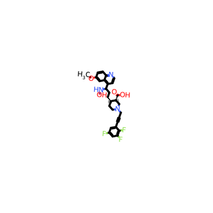 COc1ccc2nccc(C(CC[C@@H]3CCN(CC#Cc4cc(F)cc(F)c4F)C[C@@H]3C(=O)O)NO)c2c1